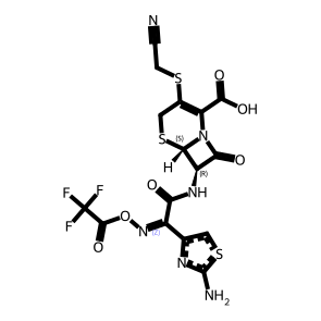 N#CCSC1=C(C(=O)O)N2C(=O)[C@@H](NC(=O)/C(=N\OC(=O)C(F)(F)F)c3csc(N)n3)[C@@H]2SC1